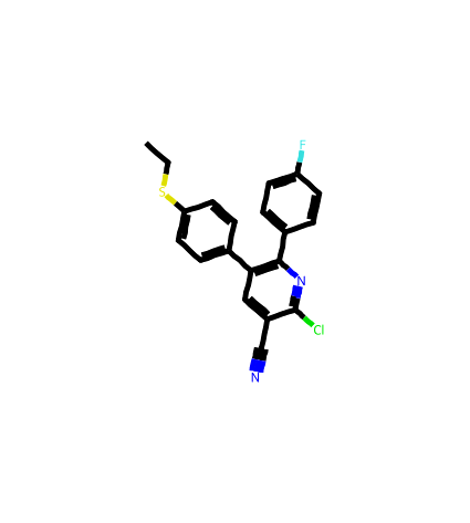 CCSc1ccc(-c2cc(C#N)c(Cl)nc2-c2ccc(F)cc2)cc1